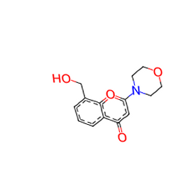 O=c1cc(N2CCOCC2)oc2c(CO)cccc12